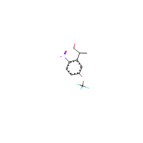 C[C](CO)c1cc(OC(F)(F)F)ccc1[N+](=O)[O-]